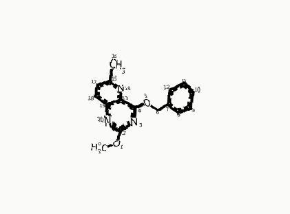 COc1nc(OCc2ccccc2)c2nc(C)ccc2n1